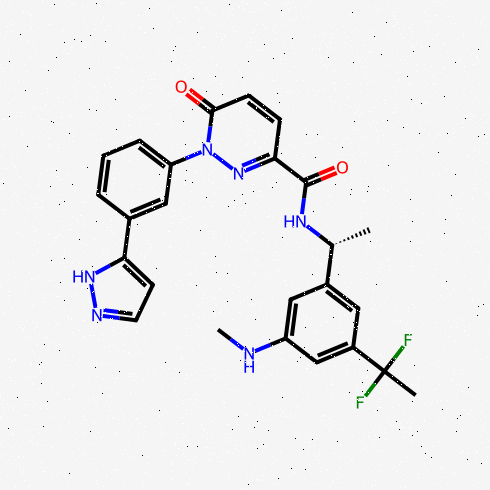 CNc1cc([C@@H](C)NC(=O)c2ccc(=O)n(-c3cccc(-c4ccn[nH]4)c3)n2)cc(C(C)(F)F)c1